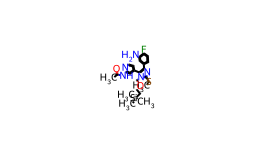 CSc1nc(-c2ccc(F)c(N)c2)c(-c2ccnc(NC(C)=O)c2)n1COCC[Si](C)(C)C